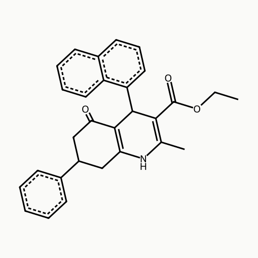 CCOC(=O)C1=C(C)NC2=C(C(=O)CC(c3ccccc3)C2)C1c1cccc2ccccc12